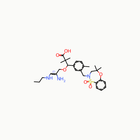 CCCN/C=C(\N)COC(c1ccc(C)c(CN2CC(C)(C)Oc3ccccc3S2(=O)=O)c1)C(C)(C)C(=O)O